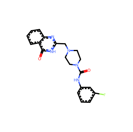 O=C(Nc1cccc(F)c1)N1CCN(Cc2nc3ccccc3c(=O)[nH]2)CC1